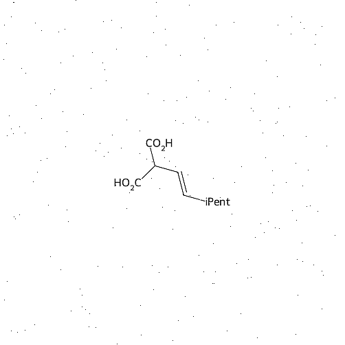 CCCC(C)C=CC(C(=O)O)C(=O)O